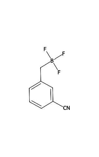 N#Cc1cccc(C[B-](F)(F)F)c1